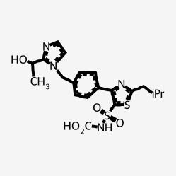 CC(C)Cc1nc(-c2ccc(Cn3ccnc3C(C)O)cc2)c(S(=O)(=O)NC(=O)O)s1